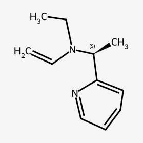 C=CN(CC)[C@@H](C)c1ccccn1